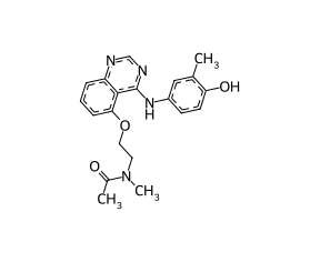 CC(=O)N(C)CCOc1cccc2ncnc(Nc3ccc(O)c(C)c3)c12